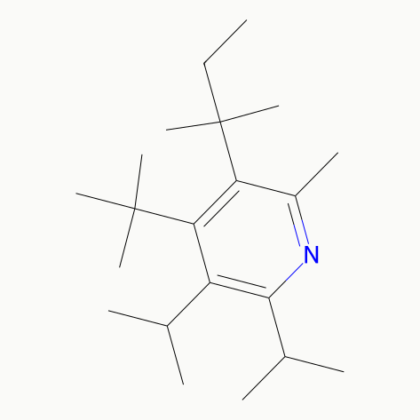 CCC(C)(C)c1c(C)nc(C(C)C)c(C(C)C)c1C(C)(C)C